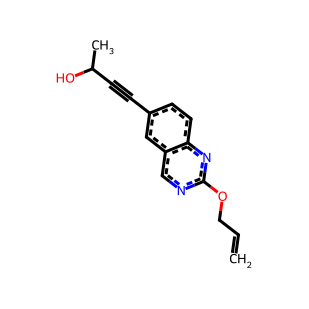 C=CCOc1ncc2cc(C#CC(C)O)ccc2n1